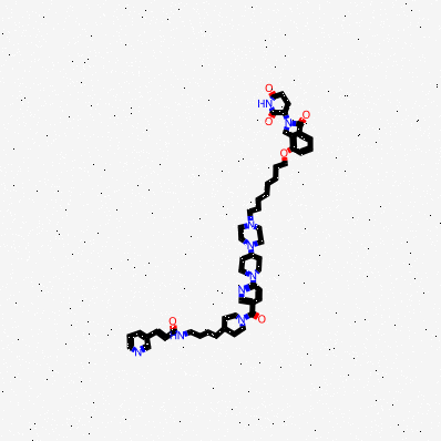 O=C(/C=C/c1cccnc1)NCCCCC1CCN(C(=O)c2ccc(N3CCC(N4CCN(CCCCCCCCOc5cccc6c5CN(C5CCC(=O)NC5=O)C6=O)CC4)CC3)nc2)CC1